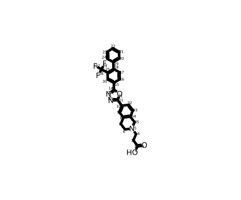 O=C(O)CCN1CCc2cc(-c3nnc(-c4ccc(-c5ccccc5)c(C(F)(F)F)c4)o3)ccc2C1